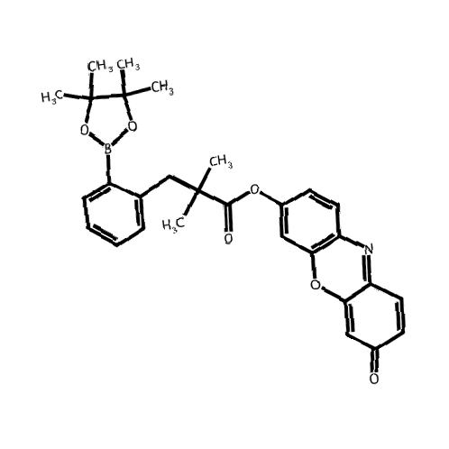 CC(C)(Cc1ccccc1B1OC(C)(C)C(C)(C)O1)C(=O)Oc1ccc2nc3ccc(=O)cc-3oc2c1